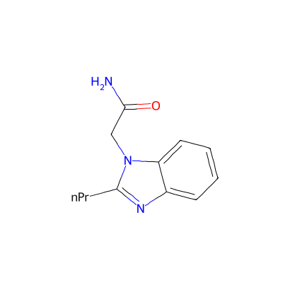 CCCc1nc2ccccc2n1CC(N)=O